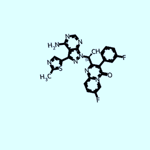 Cc1ncc(-c2nn([C@@H](C)c3nc4ccc(F)cn4c(=O)c3-c3cccc(F)c3)c3ncnc(N)c23)s1